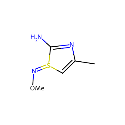 CON=S1C=C(C)N=C1N